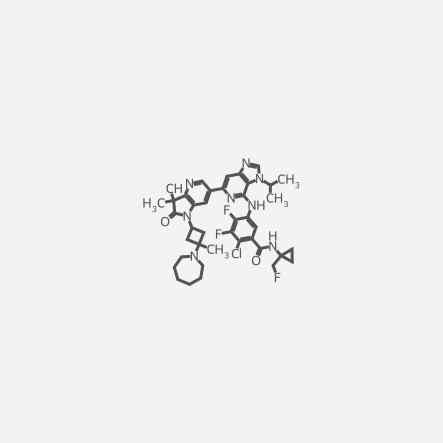 CC(C)n1cnc2cc(-c3cnc4c(c3)N(C3CC(C)(N5CCCCCC5)C3)C(=O)C4(C)C)nc(Nc3cc(C(=O)NC4(CF)CC4)c(Cl)c(F)c3F)c21